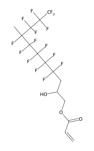 C=CC(=O)OCC(O)CC(F)(F)C(F)(F)C(F)(F)C(F)(F)C(C)(F)C(F)(F)C(F)(F)C(F)(F)F